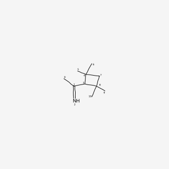 CC(=N)C1C(C)(C)CC1(C)C